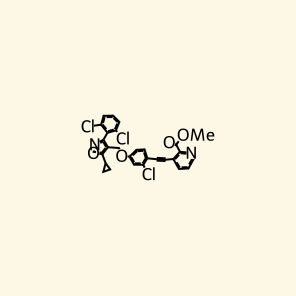 COC(=O)c1ncccc1C#Cc1ccc(OCc2c(-c3c(Cl)cccc3Cl)noc2C2CC2)cc1Cl